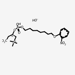 C[N+](C)(C)C[C@@H](CC(=O)O)OP(=O)(O)OCCCCCCCCOc1ccccc1[N+](=O)[O-].[OH-]